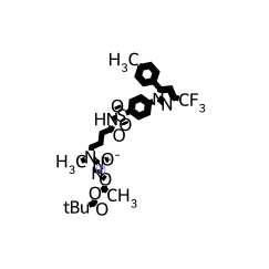 Cc1ccc(-c2cc(C(F)(F)F)nn2-c2ccc(S(=O)(=O)NC(=O)CCCN(C)/[N+]([O-])=N/OC(C)OC(=O)C(C)(C)C)cc2)cc1